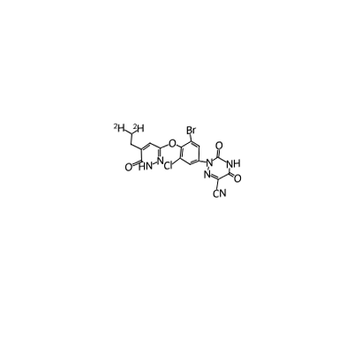 [2H]C([2H])Cc1cc(Oc2c(Cl)cc(-n3nc(C#N)c(=O)[nH]c3=O)cc2Br)n[nH]c1=O